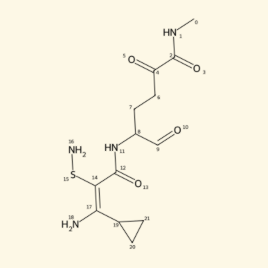 CNC(=O)C(=O)CCC(C=O)NC(=O)/C(SN)=C(/N)C1CC1